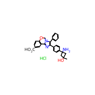 CC1(O)CC(N)(c2ccc(-c3nc4n(c3-c3ccccc3)COc3ccc(C(=O)O)cc3-4)cc2)C1.Cl